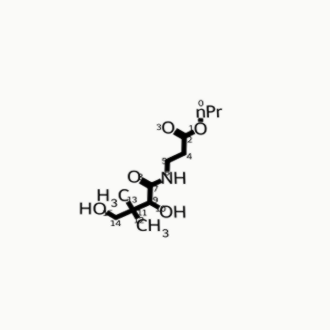 CCCOC(=O)CCNC(=O)C(O)C(C)(C)CO